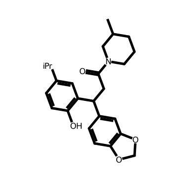 CC1CCCN(C(=O)CC(c2ccc3c(c2)OCO3)c2cc(C(C)C)ccc2O)C1